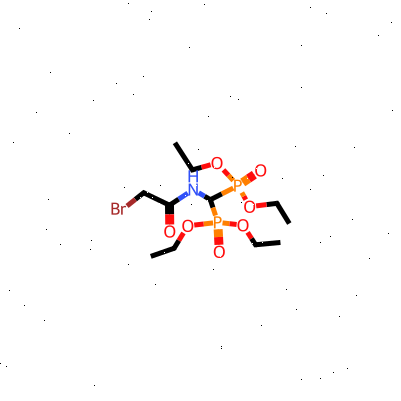 CCOP(=O)(OCC)C(NC(=O)CBr)P(=O)(OCC)OCC